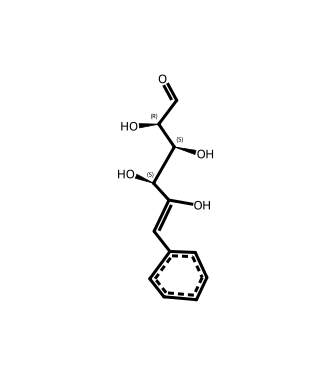 O=C[C@H](O)[C@@H](O)[C@H](O)C(O)=Cc1ccccc1